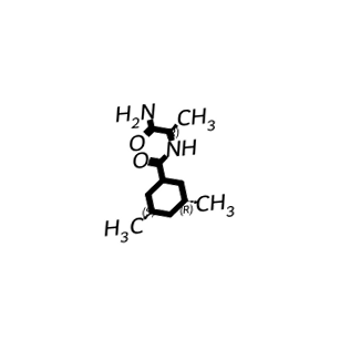 C[C@@H]1CC(C(=O)N[C@H](C)C(N)=O)C[C@H](C)C1